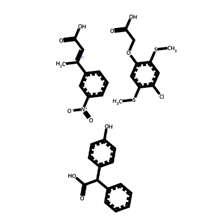 C/C(=C\C(=O)O)c1cccc([N+](=O)[O-])c1.CSc1cc(OCC(=O)O)c(SC)cc1Cl.O=C(O)C(c1ccccc1)c1ccc(O)cc1